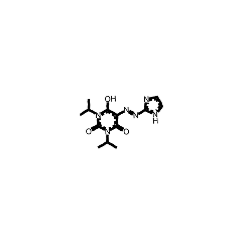 CC(C)n1c(O)c(N=Nc2ncc[nH]2)c(=O)n(C(C)C)c1=O